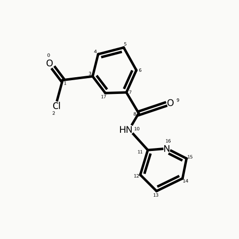 O=C(Cl)c1cccc(C(=O)Nc2ccccn2)c1